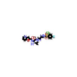 CC(C)C[C@H](NC(=O)C1Cc2ncccc2O1)C(=O)NCCCCNS(=O)(=O)c1ccc(F)cc1Cl